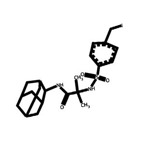 CC(C)(NS(=O)(=O)c1ccc(CI)cc1)C(=O)NC1C2CC3CC(C2)CC1C3